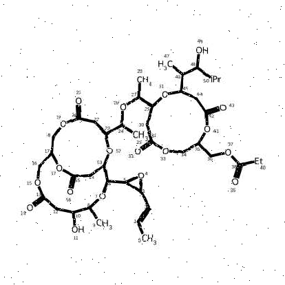 CC=CC1OC1C1OC(C)C(O)CC(=O)OCC2COC(=O)CC(C(C)OC(C)C3CC(=O)OCC(COC(=O)CC)OC(=O)CC(C(C)C(O)C(C)C)O3)OC1CC(=O)O2